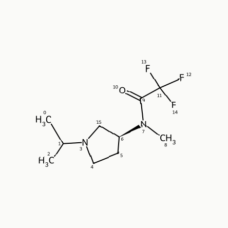 CC(C)N1CC[C@H](N(C)C(=O)C(F)(F)F)C1